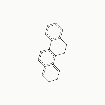 C1=c2ccc3c(c2=CCC1)CCc1ccccc1-3